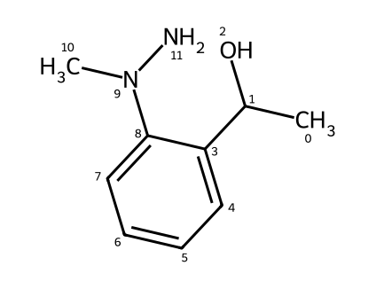 CC(O)c1ccccc1N(C)N